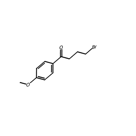 COc1ccc(C(=O)CCCBr)cc1